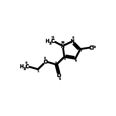 CCOC(=O)c1cc(Cl)nn1C